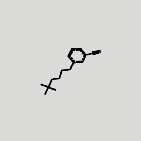 CC(C)(C)CCCCc1cccc(C#N)c1